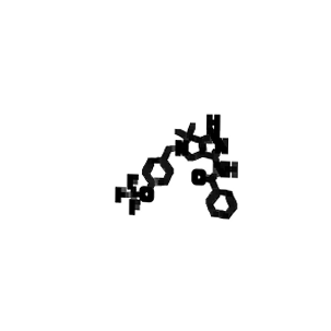 CC1(C)c2[nH]nc(NC(=O)c3ccccc3)c2CN1Cc1ccc(OC(F)(F)F)cc1